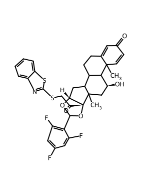 CC12C=CC(=O)C=C1CCC1C2[C@@H](O)CC2(C)C1C[C@H]1OC(c3c(F)cc(F)cc3F)O[C@]12C(=O)CSc1nc2ccccc2s1